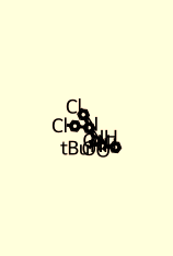 CC(C)(C)OC(=O)N/C(=N\C(=O)c1ccccc1)NCc1cnc(-c2ccc(Cl)cc2)c(-c2ccc(Cl)cc2)c1